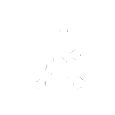 CCCCCCCCN1/C(=C\C=C\C2=[N+](CCOc3ccccc3)c3ccccc3C2(C)CCC2C=CC=C2)C(C)(CC)c2ccccc21